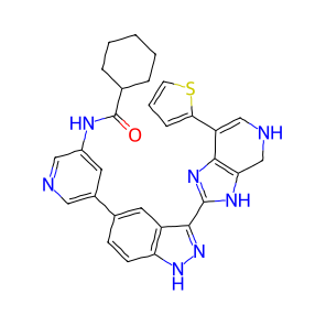 O=C(Nc1cncc(-c2ccc3[nH]nc(-c4nc5c([nH]4)CNC=C5c4cccs4)c3c2)c1)C1CCCCC1